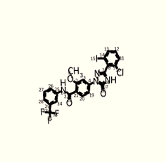 COc1cc(-n2nc(-c3c(Cl)cccc3I)[nH]c2=O)ccc1C(=O)Nc1cccc(C(F)(F)F)c1